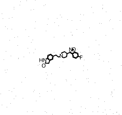 O=C1Cc2cc(CCN3CCC(c4noc5cc(F)ccc45)CC3)ccc2N1